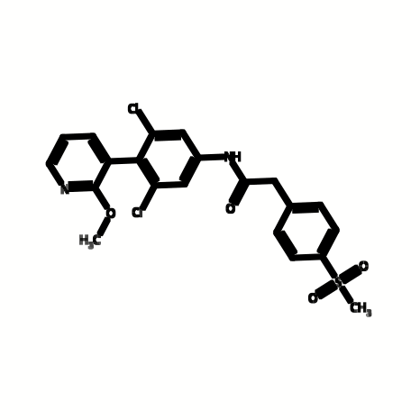 COc1ncccc1-c1c(Cl)cc(NC(=O)Cc2ccc(S(C)(=O)=O)cc2)cc1Cl